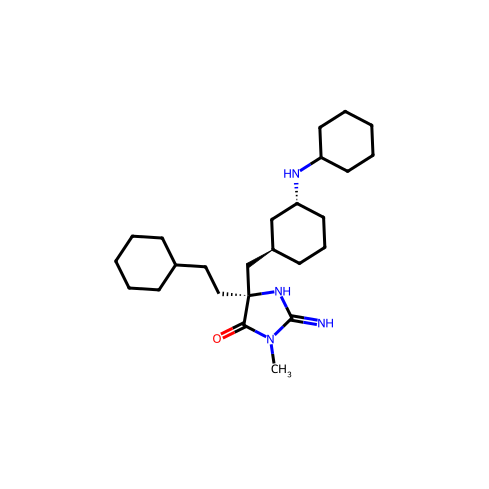 CN1C(=N)N[C@](CCC2CCCCC2)(C[C@@H]2CCC[C@@H](NC3CCCCC3)C2)C1=O